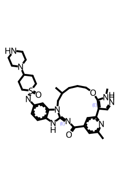 CN/C1=C(\C=N)c2cc(cc(C)n2)C(=O)/N=C2\Nc3ccc(N=S4(=O)CCC(N5CCNCC5)CC4)cc3N2CC(C)CCCO1